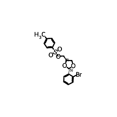 Cc1ccc(S(=O)(=O)OC[C@H]2CO[C@H](c3ccccc3Br)O2)cc1